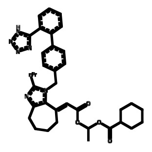 CCCc1nc2c(n1Cc1ccc(-c3ccccc3-c3nnn[nH]3)cc1)C(=CC(=O)OC(C)OC(=O)C1CCCCC1)CCCC2